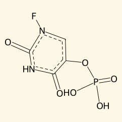 O=c1[nH]c(=O)n(F)cc1OP(=O)(O)O